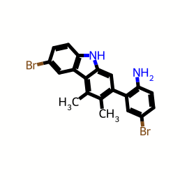 Cc1c(-c2cc(Br)ccc2N)cc2[nH]c3ccc(Br)cc3c2c1C